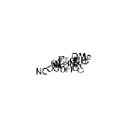 COC(=O)N[C@H](C(=O)NCCCC[C@@H](CO)N(CC(C)C)S(=O)(=O)c1ccc(C#N)cc1)C(c1ccccc1)c1ccccc1